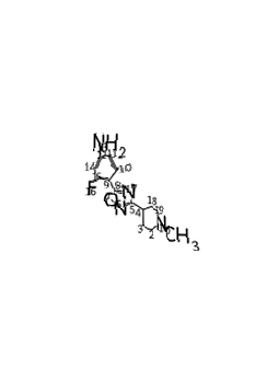 CN1CCC(c2noc(-c3ccc(N)cc3F)n2)CC1